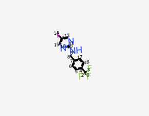 FC(F)(F)c1ccc(CNc2ncc(I)cn2)cc1